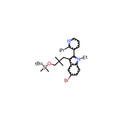 CCn1c(-c2cccnc2C(C)C)c(CC(C)(C)CO[Si](C)(C)C(C)(C)C)c2cc(Br)ccc21